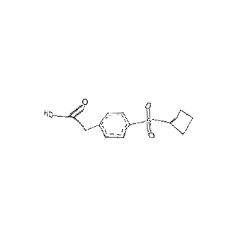 O=C(O)Cc1ccc(S(=O)(=O)C2CCC2)cc1